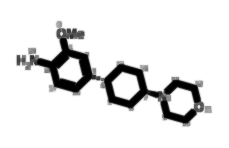 COc1cc([C@H]2CC[C@H](N3CCOCC3)CC2)ccc1N